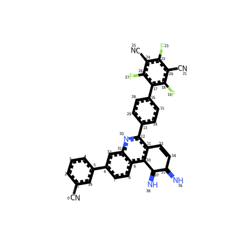 N#Cc1cccc(-c2ccc3c4c(c(-c5ccc(-c6c(F)c(C#N)c(F)c(C#N)c6F)cc5)nc3c2)C=CC(=N)C4=N)c1